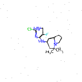 CC1(C)CC(NC2=C(F)CNC(Cl)=N2)CC2CCCN21